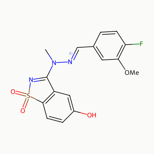 COc1cc(/C=N/N(C)C2=NS(=O)(=O)c3ccc(O)cc32)ccc1F